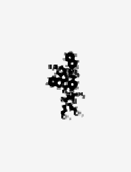 CCCCN(CCCC)C(=O)c1nn(-c2ccc(C(=O)NS(=O)(=O)c3ccc4ccccc4c3)cc2C(=O)N2Cc3ccccc3CC2CNC2CCN(C)CC2)c(C)c1Cl